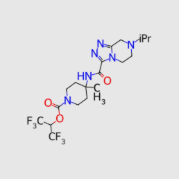 CC(C)N1CCn2c(nnc2C(=O)NC2(C)CCN(C(=O)OC(C(F)(F)F)C(F)(F)F)CC2)C1